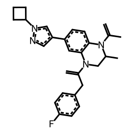 C=C(Cc1ccc(F)cc1)N1CC(C)N(C(=C)C)c2ccc(-c3cnn(C4CCC4)c3)cc21